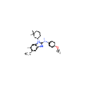 Cc1cc2c(cc1C(=O)O)nc(Nc1ccc(OC(F)(F)F)cc1)n2C1CCCC(C)(C)C1